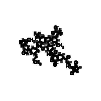 CCSc1cc(C2(Cc3nncn3C)COC2)cc(N2Cc3c(cc(C[N+]4(Cc5ccc(NS(=O)(=O)c6ccc(C(=O)NCCN7C(=O)C=CC7=O)cc6[N+](=O)[O-])cc5)CCC[C@H](C)C4)cc3C(F)(F)F)C2=O)n1.O=C([O-])C(F)(F)F